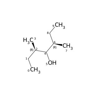 CC[C@@H](C)C(O)[C@H](C)CC